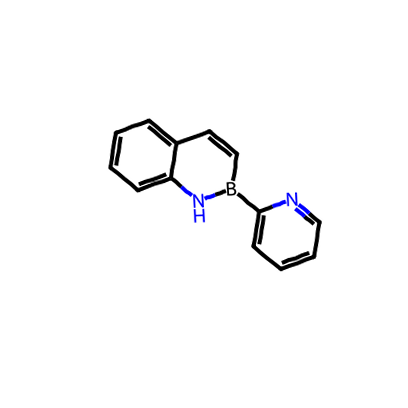 C1=Cc2ccccc2NB1c1ccccn1